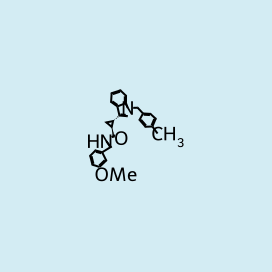 COc1cccc(CNC(=O)[C@H]2C[C@@H]2c2cn(Cc3ccc(C)cc3)c3ccccc23)c1